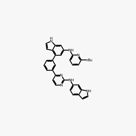 CCCCc1cccc(Nc2cc(-c3cccc(-c4ccnc(Nc5ccc6cc[nH]c6c5)n4)c3)c3cc[nH]c3c2)n1